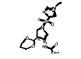 Cn1cnc(S(=O)(=O)N2C[C@H](NC(=O)O)[C@@H](C3OCCCO3)C2)c1